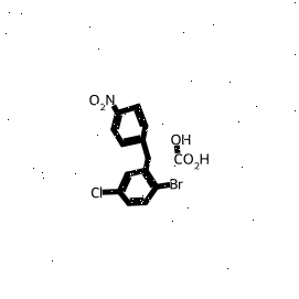 O=C(O)O.O=[N+]([O-])c1ccc(Cc2cc(Cl)ccc2Br)cc1